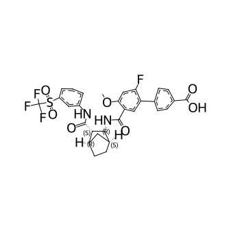 COc1cc(F)c(-c2ccc(C(=O)O)cc2)cc1C(=O)N[C@@H]1[C@H]2CC[C@H](C2)[C@@H]1C(=O)Nc1cccc(S(=O)(=O)C(F)(F)F)c1